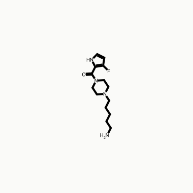 NCCCCCN1CCN(C(=O)c2[nH]ccc2F)CC1